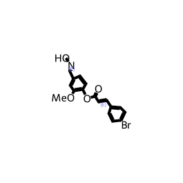 COc1cc(/C=N/O)ccc1OC(=O)/C=C/c1ccc(Br)cc1